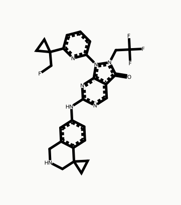 O=c1c2cnc(Nc3ccc4c(c3)CNCC43CC3)nc2n(-c2cccc(C3(CF)CC3)n2)n1CC(F)(F)F